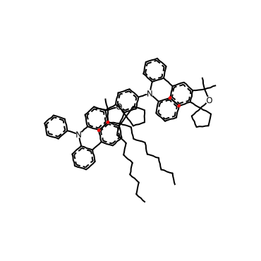 CCCCCCCCC1(CCCCCCCC)c2cc(N(c3ccccc3)c3ccccc3-c3ccc4c(c3)C(C)(C)OC43CCCC3)ccc2-c2ccc(N(c3ccccc3)c3ccccc3-c3ccc4c(c3)C(C)(C)OC43CCCC3)cc21